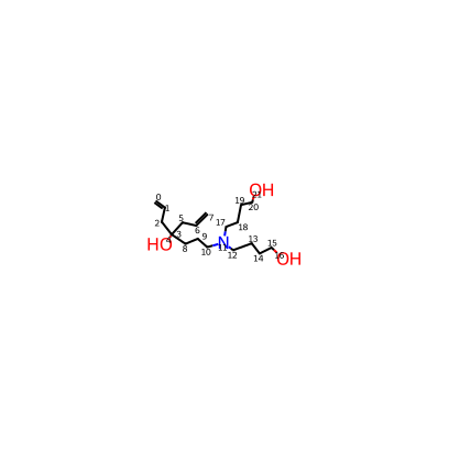 C=CCC(O)(CC=C)CCCN(CCCCO)CCCCO